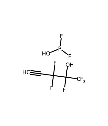 C#CC(F)(F)C(O)(F)C(F)(F)F.OP(F)F